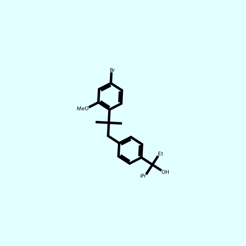 CCC(O)(c1ccc(CC(C)(C)c2ccc(Br)cc2OC)cc1)C(C)C